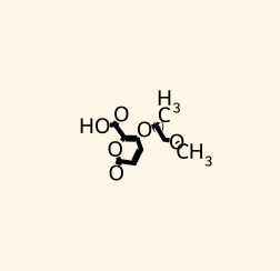 COC[C@H](C)Oc1ccc(=O)oc1C(=O)O